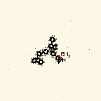 C[C@H]1C[C@H]2C[C@H]3CC(c4ccc(N(c5ccc(-c6cccc(-n7c8ccccc8c8ccccc87)c6)cc5)c5ccc(-c6ccccc6)c6ccccc56)cc4)(CC23)C1